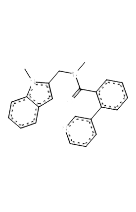 CN(Cc1cc2ccccc2n1C)C(=O)c1ccccc1-c1cccnc1